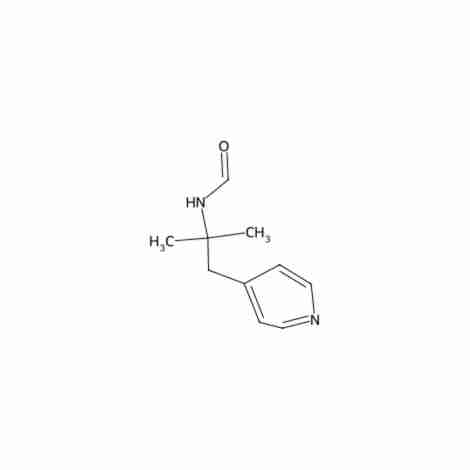 CC(C)(Cc1ccncc1)NC=O